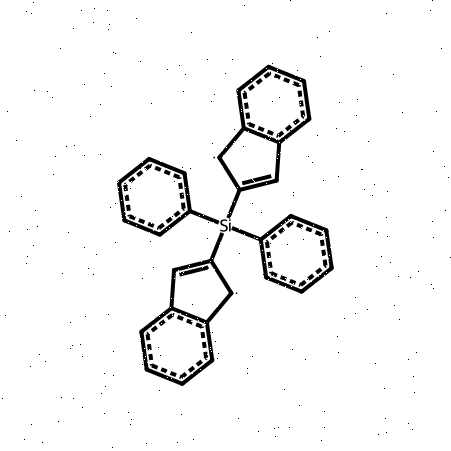 [CH]1C([Si](C2=Cc3ccccc3[CH]2)(c2ccccc2)c2ccccc2)=Cc2ccccc21